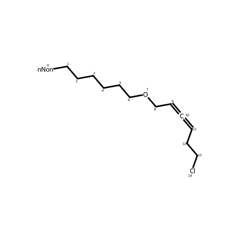 CCCCCCCCCCCCCCCOCC=C=CCCCl